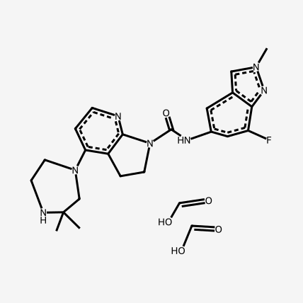 Cn1cc2cc(NC(=O)N3CCc4c(N5CCNC(C)(C)C5)ccnc43)cc(F)c2n1.O=CO.O=CO